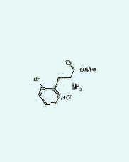 COC(=O)[C@H](N)Cc1ccccc1Br.Cl